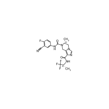 C[C@@H]1Cn2cnc(C(=O)N[C@H](C)C(F)(F)F)c2CN1C(=O)Nc1ccc(F)c(C#N)c1